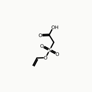 C=COS(=O)(=O)CC(=O)O